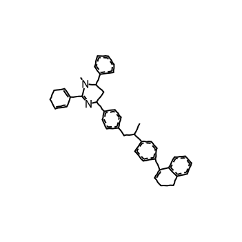 CC(Cc1ccc(C2CC(c3ccccc3)N(C)C(C3=CCCC=C3)=N2)cc1)c1ccc(C2=CCCc3ccccc32)cc1